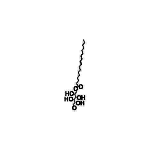 CCCCCCCCC=CCCCCCCCC(=O)OC[C@@H](O)[C@@H](O)[C@H](O)[C@H](O)C=O